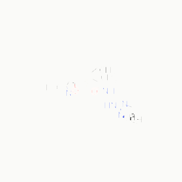 C#C/C=N\C(=N/C)NCCNC(=O)/C(C)=C(/C=C\C)SCc1cc(C)no1